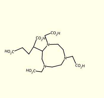 O=C(O)CCC(C(=O)O)C1CN(CC(=O)O)CCN(CC(=O)O)CCN1CC(=O)O